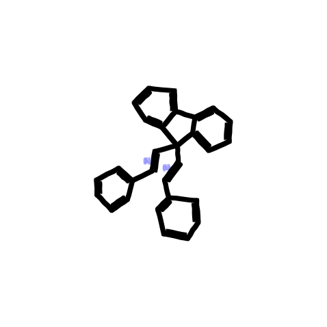 C(=C\C1(/C=C/c2ccccc2)c2ccccc2-c2ccccc21)/c1ccccc1